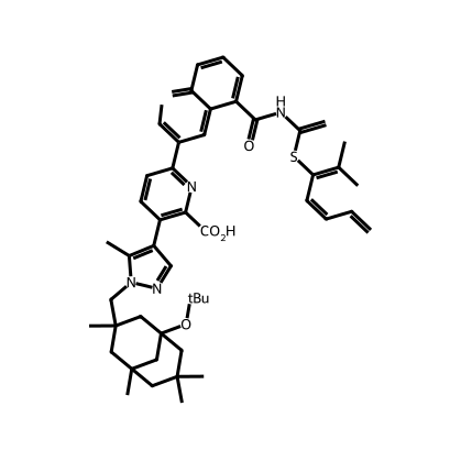 C=C/C=C\C(SC(=C)NC(=O)c1cccc(=C)/c1=C\C(=C/C)c1ccc(-c2cnn(CC3(C)CC4(C)CC(C)(C)CC(OC(C)(C)C)(C3)C4)c2C)c(C(=O)O)n1)=C(C)C